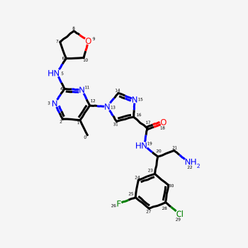 Cc1cnc(NC2CCOC2)nc1-n1cnc(C(=O)NC(CN)c2cc(F)cc(Cl)c2)c1